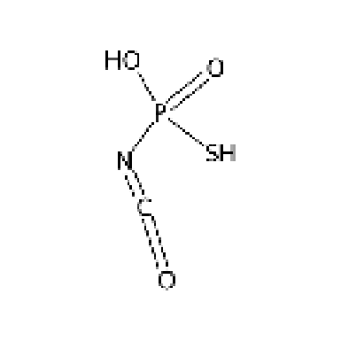 O=C=NP(=O)(O)S